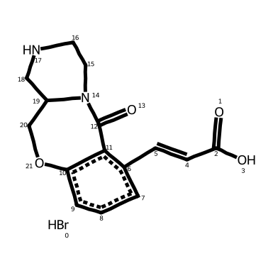 Br.O=C(O)/C=C/c1cccc2c1C(=O)N1CCNCC1CO2